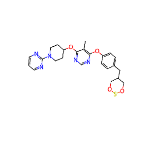 Cc1c(Oc2ccc(CC3COSOC3)cc2)ncnc1OC1CCN(c2ncccn2)CC1